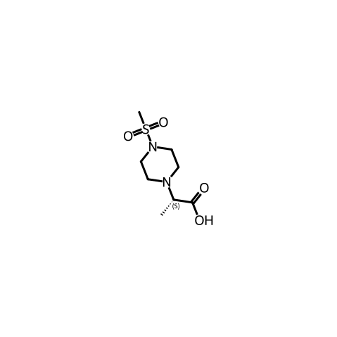 C[C@@H](C(=O)O)N1CCN(S(C)(=O)=O)CC1